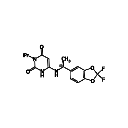 CC(C)n1c(=O)cc(N[C@@H](C)c2ccc3c(c2)OC(F)(F)O3)[nH]c1=O